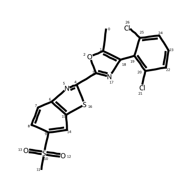 Cc1oc(-c2nc3ccc(S(C)(=O)=O)cc3s2)nc1-c1c(Cl)cccc1Cl